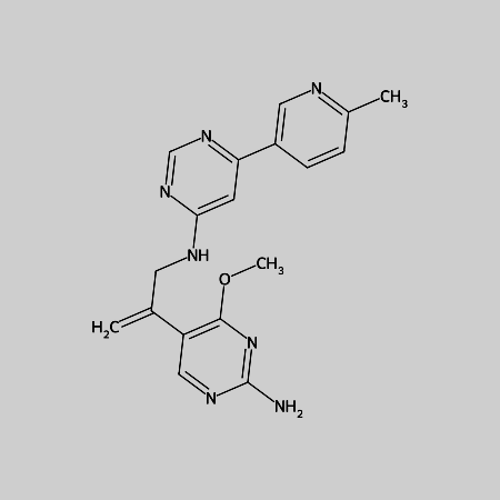 C=C(CNc1cc(-c2ccc(C)nc2)ncn1)c1cnc(N)nc1OC